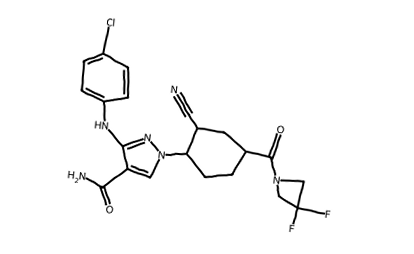 N#CC1CC(C(=O)N2CC(F)(F)C2)CCC1n1cc(C(N)=O)c(Nc2ccc(Cl)cc2)n1